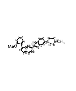 COc1ccccc1-c1ccc2cnc(-c3nc4cc(N5CCN(C)CC5)ccc4[nH]3)nn12